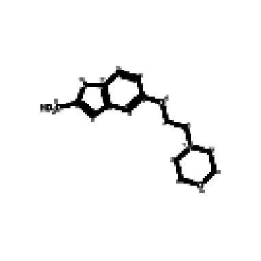 O=C(O)c1cc2cc(OCCN3CCOCC3)ccc2s1